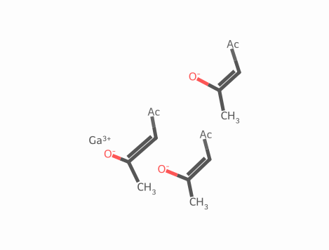 CC(=O)C=C(C)[O-].CC(=O)C=C(C)[O-].CC(=O)C=C(C)[O-].[Ga+3]